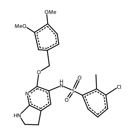 COc1ccc(COc2nc3c(cc2NS(=O)(=O)c2cccc(Cl)c2C)CCN3)cc1OC